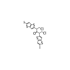 O=C(C(CCl)c1cc2sc(I)cc2s1)C(CCl)c1cc2sc(I)cc2s1